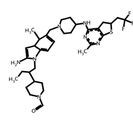 CCC(CN1C(N)=CC2C1=CC=C(CN1CCC(Nc3nc(C)nc4c3CC(CC(F)(F)F)S4)CC1)C2C)C1CCN(C=O)CC1